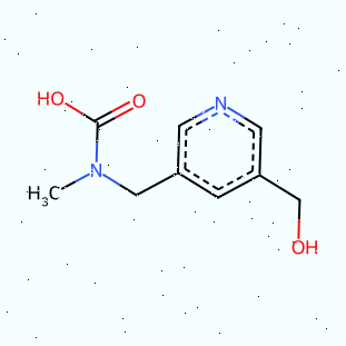 CN(Cc1cncc(CO)c1)C(=O)O